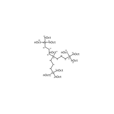 CCCCCCCC[Si](CCCCCCCC)(CCCCCCCC)CCC[Si](CCCCCCCC)(CCC[Si](CCCCCCCC)(CCCCCCCC)CCCCCCCC)CCC[Si](CCCCCCCC)(CCCCCCCC)CCCCCCCC